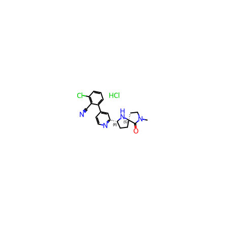 CN1CC[C@@]2(CC[C@H](c3cc(-c4cccc(Cl)c4C#N)ccn3)N2)C1=O.Cl